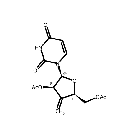 C=C1[C@H](COC(C)=O)O[C@H](n2ccc(=O)[nH]c2=O)[C@@H]1OC(C)=O